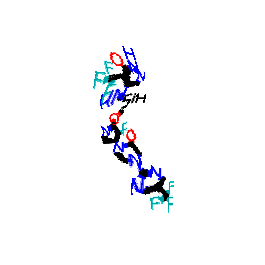 C[Si@@H](COc1nccc(N2CCN(c3ncc(C(F)(F)F)cn3)CC2=O)c1F)Nc1cn[nH]c(=O)c1C(F)(F)F